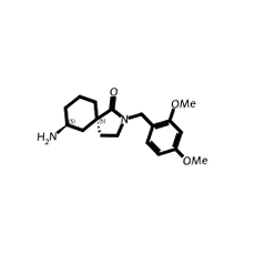 COc1ccc(CN2CC[C@]3(CCC[C@H](N)C3)C2=O)c(OC)c1